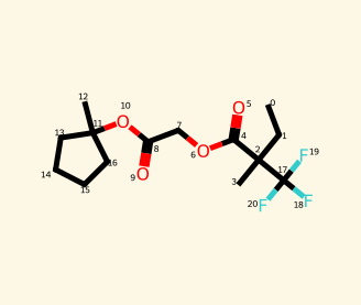 CCC(C)(C(=O)OCC(=O)OC1(C)CCCC1)C(F)(F)F